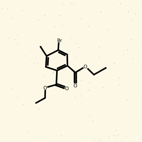 CCOC(=O)c1cc(C)c(Br)cc1C(=O)OCC